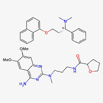 CN(C)[C@@H](CCOc1cccc2ccccc12)c1ccccc1.COc1cc2nc(N(C)CCCNC(=O)C3CCCO3)nc(N)c2cc1OC